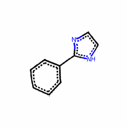 [c]1cccc(-c2ncc[nH]2)c1